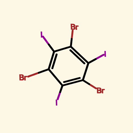 Brc1c(I)c(Br)c(I)c(Br)c1I